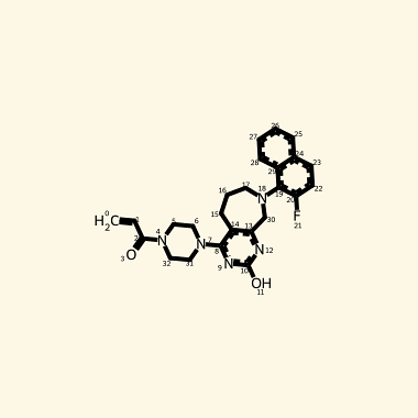 C=CC(=O)N1CCN(c2nc(O)nc3c2CCCN(c2c(F)ccc4ccccc24)C3)CC1